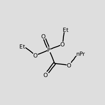 CCCOC(=O)P(=O)(OCC)OCC